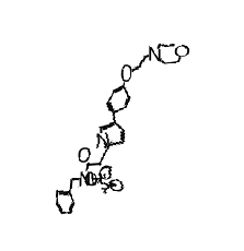 CS(=O)(=O)OC(C(=O)NCc1ccccc1)c1ccc(-c2ccc(OCCN3CCOCC3)cc2)cn1